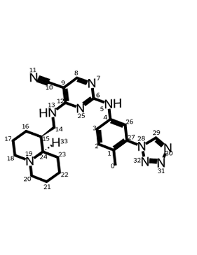 Cc1ccc(Nc2ncc(C#N)c(NC[C@@H]3CCCN4CCCC[C@H]34)n2)cc1-n1cnnn1